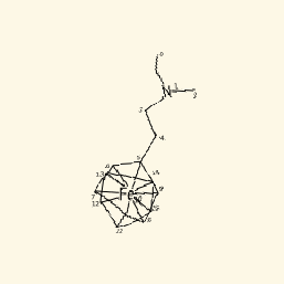 CN(C)CC[C]12[CH]3[CH]4[CH]5[CH]1[Fe]45321678[CH]2[CH]1[CH]6[CH]7[CH]28